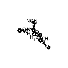 Cc1c(COc2cc(OCc3cncc(C#N)c3)c(CNCc3ncc(-c4ccccc4)o3)cc2Cl)cccc1-c1cccc(OCCCN2CCCC2)c1C